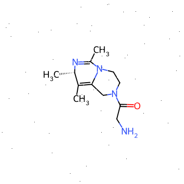 CC1=N[C@@H](C)C(C)=C2CN(C(=O)CN)CCN12